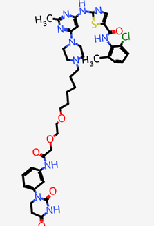 Cc1nc(Nc2ncc(C(=O)Nc3c(C)cccc3Cl)s2)cc(N2CCN(CCCCCCOCCOCC(=O)Nc3cccc(N4CCC(=O)NC4=O)c3)CC2)n1